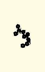 c1ccc(-c2ccc3sc4ccc(-n5c6ccccc6c6c(-c7cccc(-c8nc(-c9ccccc9)cc(-c9ccccc9)n8)c7)cccc65)cc4c3c2)cc1